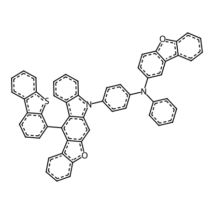 c1ccc(N(c2ccc(-n3c4ccccc4c4c(-c5cccc6c5sc5ccccc56)c5c(cc43)oc3ccccc35)cc2)c2ccc3oc4ccccc4c3c2)cc1